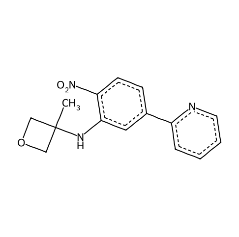 CC1(Nc2cc(-c3ccccn3)ccc2[N+](=O)[O-])COC1